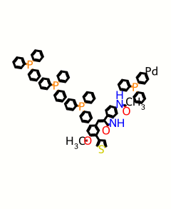 COc1ccc(C=C2C(=O)Nc3cc(NC(C)=O)ccc32)cc1-c1ccsc1.[Pd].c1ccc(P(c2ccccc2)c2ccccc2)cc1.c1ccc(P(c2ccccc2)c2ccccc2)cc1.c1ccc(P(c2ccccc2)c2ccccc2)cc1.c1ccc(P(c2ccccc2)c2ccccc2)cc1